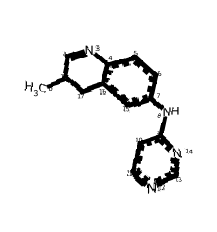 CC1C=Nc2ccc(Nc3ccncn3)cc2C1